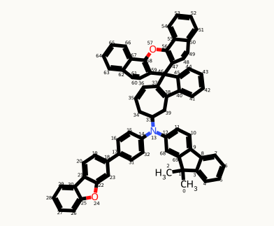 CC1(C)c2ccccc2-c2ccc(N(c3ccc(-c4ccc5c(c4)oc4ccccc45)cc3)C3CC=CC4=C(C3)c3ccccc3C43c4ccc5ccccc5c4Oc4c3ccc3ccccc43)cc21